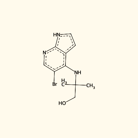 CC(C)(CO)Nc1c(Br)cnc2[nH]ccc12